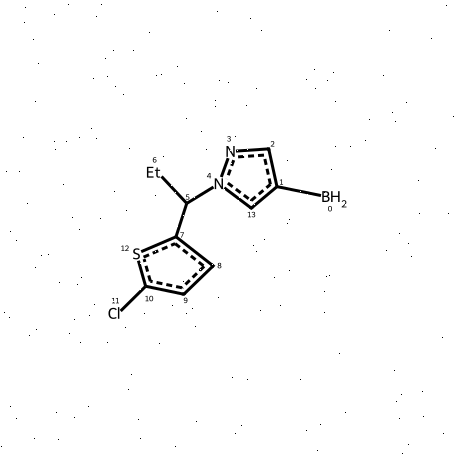 Bc1cnn(C(CC)c2ccc(Cl)s2)c1